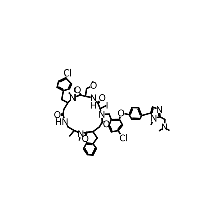 COCC1NC(=O)C(I)N(Cc2ccc(Cl)cc2Oc2ccc(-c3cnc(CN(C)C)n3C)cc2)C(=O)CC(Cc2ccccc2)C(=O)N(C)C(C)CNC(=O)CC(Cc2ccc(Cl)cc2)N(C)C1=O